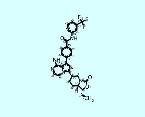 C=C[C@H]1OC(=O)N2C[C@H](c3nc(-c4ccc(C(=O)Nc5cc(C(F)(F)F)ccn5)cc4)c4c(N)nccn34)CC[C@@H]12